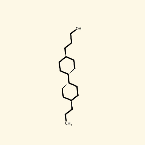 CCC[C@H]1CC[C@H]([C@H]2CC[C@H](CCCO)CC2)CC1